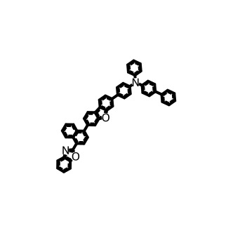 c1ccc(-c2ccc(N(c3ccccc3)c3ccc(-c4ccc5c(c4)oc4cc(-c6ccc(-c7nc8ccccc8o7)c7ccccc67)ccc45)cc3)cc2)cc1